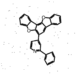 c1ccc(-c2cc(-c3cc4c5ccccc5oc4c4c3oc3ccccc34)ccn2)cc1